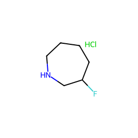 Cl.FC1CCCCNC1